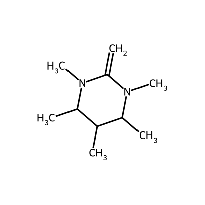 C=C1N(C)C(C)C(C)C(C)N1C